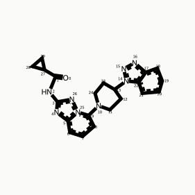 O=C(Nc1nc2cccc(N3CCC(n4nnc5ccccc54)CC3)n2n1)C1CC1